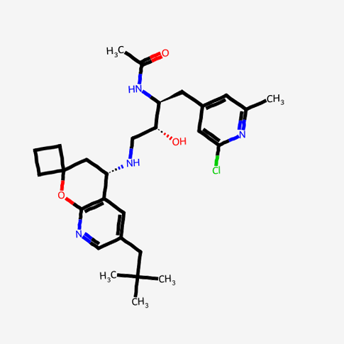 CC(=O)N[C@@H](Cc1cc(C)nc(Cl)c1)[C@H](O)CN[C@H]1CC2(CCC2)Oc2ncc(CC(C)(C)C)cc21